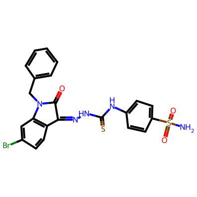 NS(=O)(=O)c1ccc(NC(=S)NN=C2C(=O)N(Cc3ccccc3)c3cc(Br)ccc32)cc1